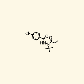 CCC(=O)N(NC(=O)c1ccc(Cl)cc1)C(C)(C)C